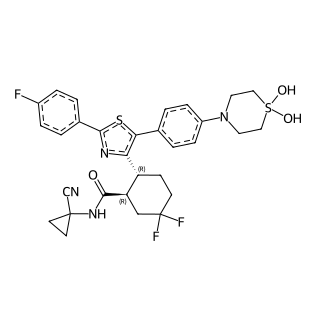 N#CC1(NC(=O)[C@@H]2CC(F)(F)CC[C@H]2c2nc(-c3ccc(F)cc3)sc2-c2ccc(N3CCS(O)(O)CC3)cc2)CC1